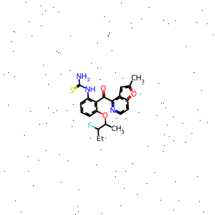 CCC(F)C(C)Oc1cccc(NC(N)=S)c1C(=O)c1nccc2oc(C)cc12